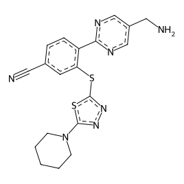 N#Cc1ccc(-c2ncc(CN)cn2)c(Sc2nnc(N3CCCCC3)s2)c1